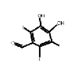 O=Cc1c(I)c(O)c(O)c(I)c1I